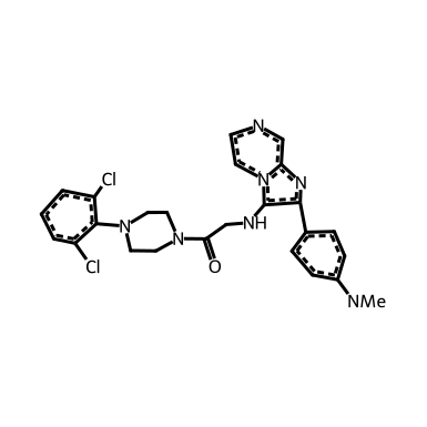 CNc1ccc(-c2nc3cnccn3c2NCC(=O)N2CCN(c3c(Cl)cccc3Cl)CC2)cc1